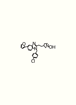 ON1CCC(CCc2nc3cc(-c4ccco4)ccc3n2Cc2ccc(Cl)cc2)C1